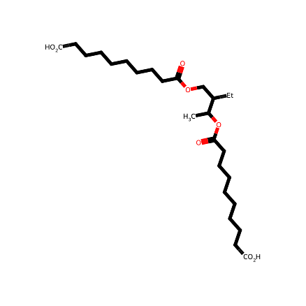 CCC(COC(=O)CCCCCCCCC(=O)O)C(C)OC(=O)CCCCCCCCC(=O)O